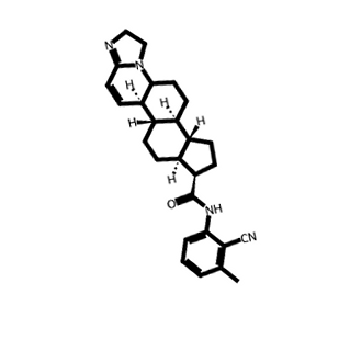 Cc1cccc(NC(=O)[C@@H]2CC[C@H]3[C@@H]4CCC5[C@H](C=CC6=NCCN65)[C@H]4CC[C@@H]32)c1C#N